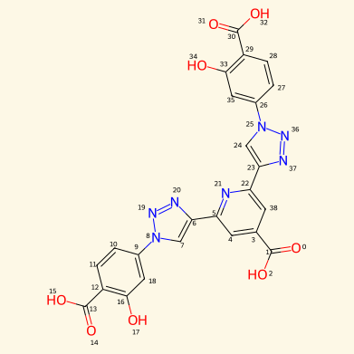 O=C(O)c1cc(-c2cn(-c3ccc(C(=O)O)c(O)c3)nn2)nc(-c2cn(-c3ccc(C(=O)O)c(O)c3)nn2)c1